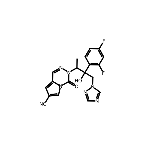 CC(n1ncc2cc(C#N)cn2c1=O)C(O)(Cn1cncn1)c1ccc(F)cc1F